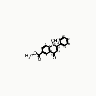 COC(=O)c1ccc2c(c1)c(=O)cc(-c1ccccc1)n2C